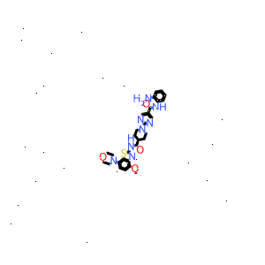 COc1ccc(N2CCOCC2)c2sc(NC(=O)C3CCN(c4ncc(C(=O)Nc5ccccc5N)cn4)CC3)nc12